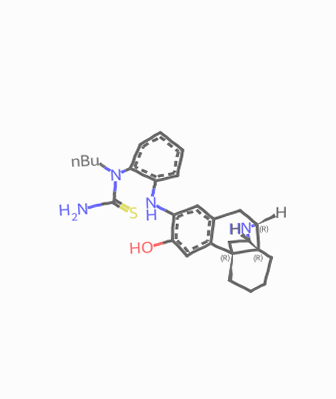 CCCCN(C(N)=S)c1ccccc1Nc1cc2c(cc1O)[C@@]13CCCC[C@H]1[C@@H](C2)NCC3